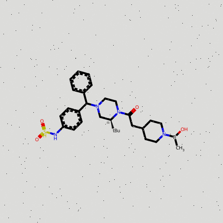 CB(O)N1CCC(CC(=O)N2CCN(C(c3ccccc3)c3ccc(N[SH](=O)=O)cc3)C[C@@H]2C(C)(C)C)CC1